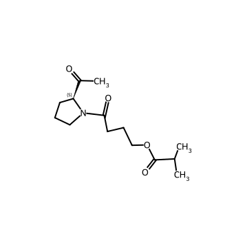 CC(=O)[C@@H]1CCCN1C(=O)CCCOC(=O)C(C)C